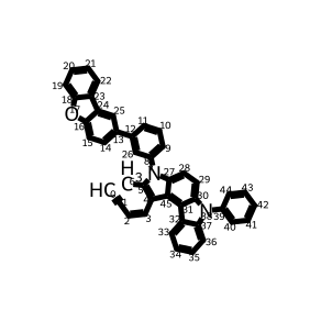 C#C/C=C\c1c(C)n(-c2cccc(-c3ccc4oc5ccccc5c4c3)c2)c2ccc3c(c4ccccc4n3-c3ccccc3)c12